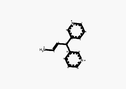 [SiH3]C=CC(c1cccnc1)c1cccnc1